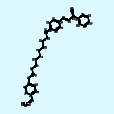 C=Cc1ccc(COCCCCCCCCOc2ccc(C=CC(=O)c3ccccc3)cc2)cc1